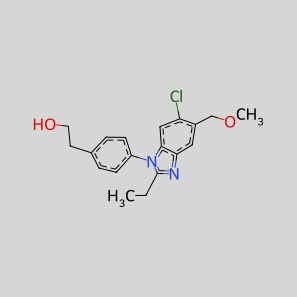 CCc1nc2cc(COC)c(Cl)cc2n1-c1ccc(CCO)cc1